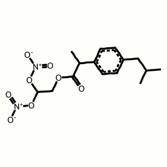 CC(C)Cc1ccc(C(C)C(=O)OCC(O[N+](=O)[O-])O[N+](=O)[O-])cc1